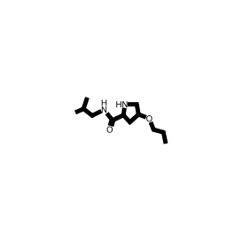 CCCOC1CNC(C(=O)NCC(C)C)C1